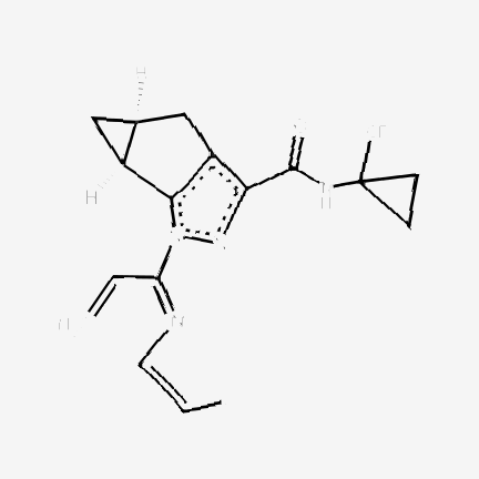 C=C/C(=N\C=C/C)n1nc(C(=O)NC2(C(F)(F)F)CC2)c2c1[C@H]1C[C@H]1C2